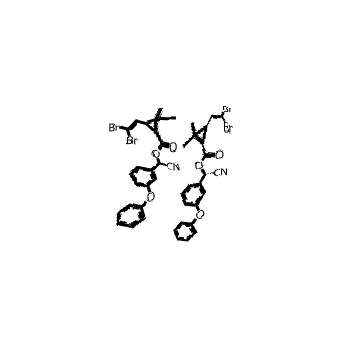 CC1(C)C(C=C(Br)Br)C1C(=O)OC(C#N)c1cccc(Oc2ccccc2)c1.CC1(C)[C@H](C(=O)O[C@H](C#N)c2cccc(Oc3ccccc3)c2)[C@@H]1C=C(Br)Br